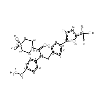 COc1ccc(N(Cc2ccc(-c3nnc(C(F)(F)F)o3)cc2)C(=O)N2CCS(=O)(=O)CC2)cc1